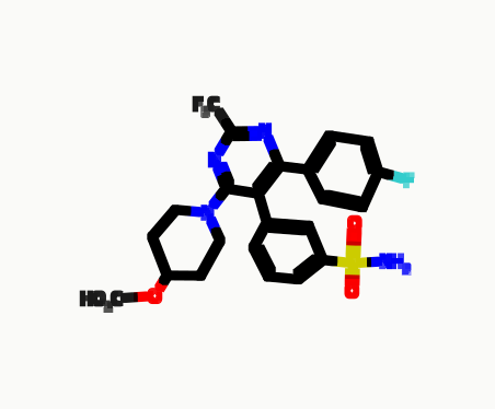 NS(=O)(=O)c1cccc(-c2c(-c3ccc(F)cc3)nc(C(F)(F)F)nc2N2CCC(OC(=O)O)CC2)c1